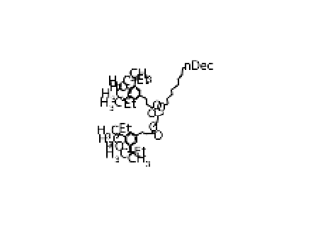 CCCCCCCCCCCCCCCCCCOCC(COC(=O)CCc1cc(C(C)(C)CC)c(O)c(C(C)(C)CC)c1)OC(=O)CCc1cc(C(C)(C)CC)c(O)c(C(C)(C)CC)c1